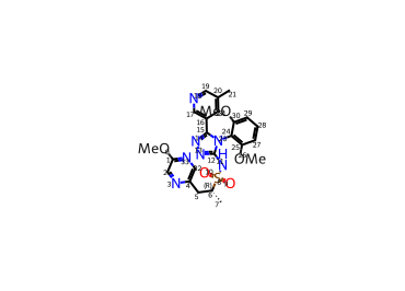 COc1cnc(C[C@@H](C)S(=O)(=O)Nc2nnc(-c3cncc(C)c3)n2-c2c(OC)cccc2OC)cn1